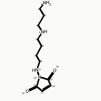 NCCCNCCCCNN1C(=O)C=CC1=O